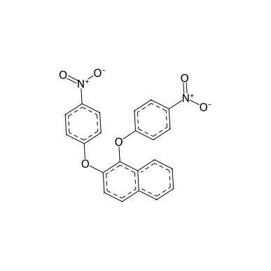 O=[N+]([O-])c1ccc(Oc2ccc3ccccc3c2Oc2ccc([N+](=O)[O-])cc2)cc1